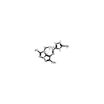 CC(C)c1nn2nc(C(C)(C)C)c(N=Nc3nnc(C(C)(C)C)s3)c2n1CC(=O)O